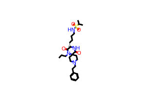 CCCN1C(=O)[C@H](CCCCNS(=O)(=O)C(C)C)NC(=O)C12CCN(CCc1ccccc1)CC2